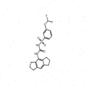 O=C(Nc1c2c(cc3c1CCC3)CCC2)NS(=O)(=O)c1cccc(OC(F)F)c1